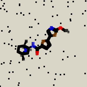 COc1ncc(-c2ccc(C(=O)N[C@@H]3C[C@H]4CC[C@@H]3N4)s2)s1